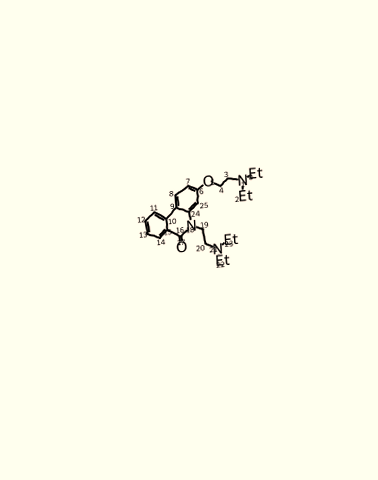 CCN(CC)CCOc1ccc2c3ccccc3c(=O)n(CCN(CC)CC)c2c1